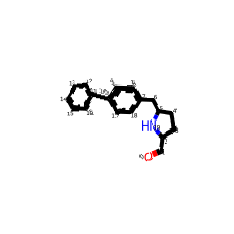 O=CC1CCC(Cc2ccc(-c3ccccc3)cc2)N1